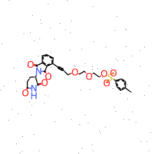 Cc1ccc(S(=O)(=O)OCCOCCOCC#Cc2cccc3c2C(=O)N(C2CCC(=O)NC2=O)C3=O)cc1